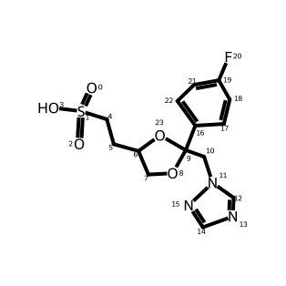 O=S(=O)(O)CCC1COC(Cn2cncn2)(c2ccc(F)cc2)O1